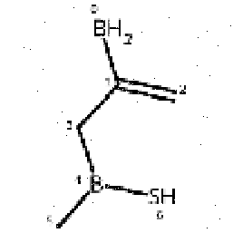 BC(=C)CB(C)S